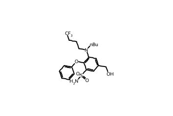 CCCCN(CCCC(F)(F)F)c1cc(CO)cc(S(N)(=O)=O)c1Oc1ccccc1